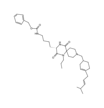 CCCN1C(=O)[C@H](CCCCNC(=O)OCc2ccccc2)NC(=O)C12CCN(CC1CC=C(C/C=C/C(C)C)CC1)CC2